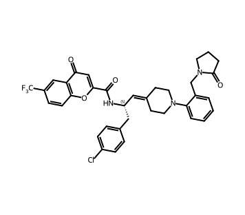 O=C(N[C@H](C=C1CCN(c2ccccc2CN2CCCC2=O)CC1)Cc1ccc(Cl)cc1)c1cc(=O)c2cc(C(F)(F)F)ccc2o1